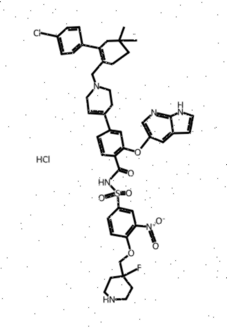 CC1(C)CCC(CN2CC=C(c3ccc(C(=O)NS(=O)(=O)c4ccc(OCC5(F)CCNCC5)c([N+](=O)[O-])c4)c(Oc4cnc5[nH]ccc5c4)c3)CC2)=C(c2ccc(Cl)cc2)C1.Cl